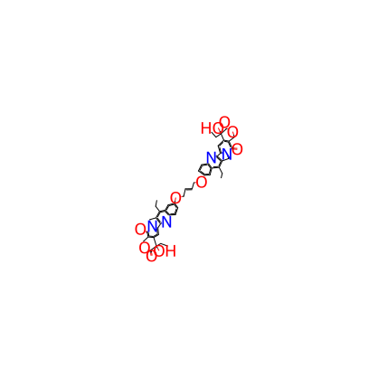 CCc1c2c(nc3ccc(OC/C=C/COc4ccc5nc6c(c(CC)c5c4)Cn4c-6cc5c(c4=O)COC(=O)C5(O)CC)cc13)-c1cc3c(c(=O)n1C2)COC(=O)C3(O)CC